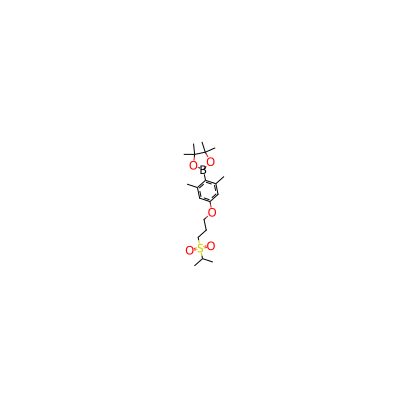 Cc1cc(OCCCS(=O)(=O)C(C)C)cc(C)c1B1OC(C)(C)C(C)(C)O1